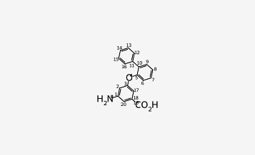 Nc1cc(Oc2ccccc2-c2ccccc2)cc(C(=O)O)c1